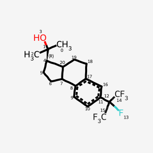 CC(C)(O)[C@@H]1CCC2c3ccc(C(F)(C(F)(F)F)C(F)(F)F)cc3CCC21